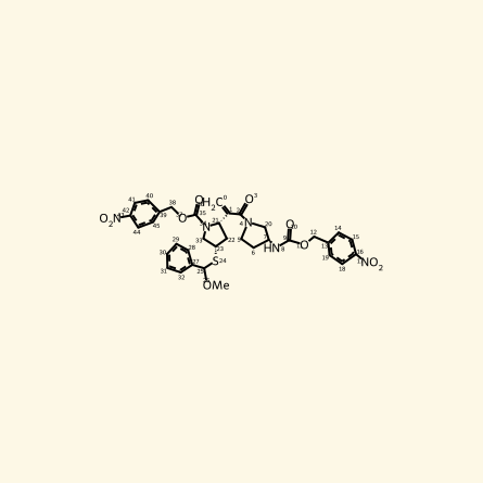 C=C(C(=O)N1CC[C@H](NC(=O)OCc2ccc([N+](=O)[O-])cc2)C1)[C@@H]1C[C@H](SC(OC)c2ccccc2)CN1C(=O)OCc1ccc([N+](=O)[O-])cc1